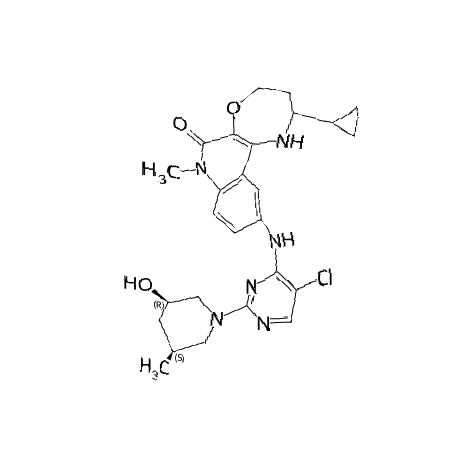 C[C@H]1C[C@@H](O)CN(c2ncc(Cl)c(Nc3ccc4c(c3)c3c(c(=O)n4C)OCCC(C4CC4)N3)n2)C1